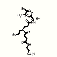 CC(C)[C@H](NC(=O)CCN(CCC(C)(C)C)C(=O)CCC(=O)NCCS(=O)(=O)O)C(=O)N[C@@H](C)C(=O)C(C)(C)C